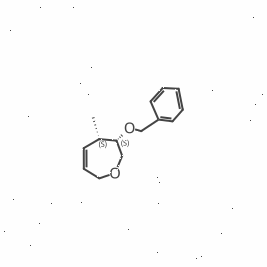 C[C@H]1C=CCOC[C@H]1OCc1ccccc1